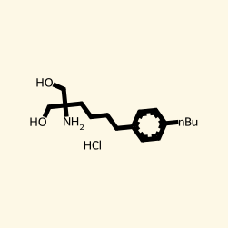 CCCCc1ccc(CCCCC(N)(CO)CO)cc1.Cl